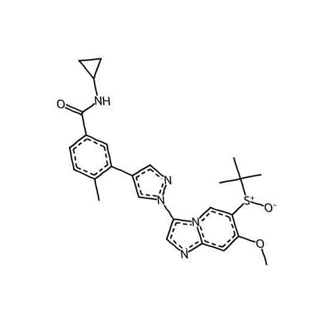 COc1cc2ncc(-n3cc(-c4cc(C(=O)NC5CC5)ccc4C)cn3)n2cc1[S+]([O-])C(C)(C)C